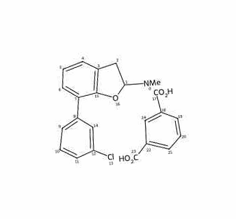 CNC1Cc2cccc(-c3cccc(Cl)c3)c2O1.O=C(O)c1cccc(C(=O)O)c1